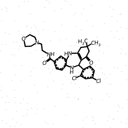 CC1(C)CC(=O)C2=C(C1)Nc1cc(C(=O)NCCN3CCOCC3)ccc1NC2c1ccc(Cl)cc1Cl